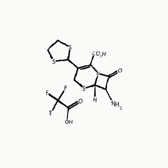 NC1C(=O)N2C(C(=O)O)=C(C3SCCS3)CS[C@@H]12.O=C(O)C(F)(F)F